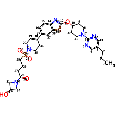 CCCc1cnc(N2CCC(Oc3nc4ccc(C5=CCN(S(=O)(=O)CCCC(=O)N6CC(O)C6)CC5)cc4s3)CC2)nc1